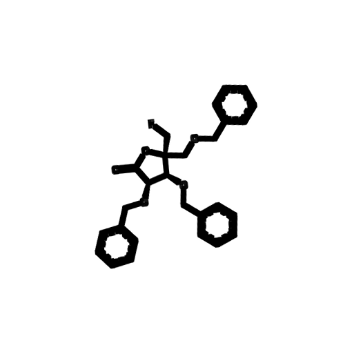 O=C1O[C@](CF)(COCc2ccccc2)[C@@H](OCc2ccccc2)[C@H]1OCc1ccccc1